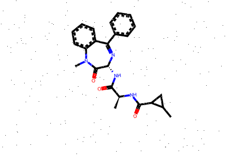 CC1CC1C(=O)N[C@@H](C)C(=O)N[C@H]1N=C(c2ccccc2)c2ccccc2N(C)C1=O